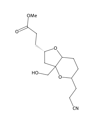 COC(=O)CC[C@H]1CC2(CO)OC(CCC#N)CCC2O1